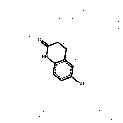 [NH]c1ccc2c(c1)CCC(=O)N2